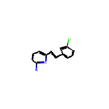 Nc1cccc(/C=C/c2cccc(Cl)c2)n1